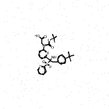 CC(C)(C)OC(=O)N(CC(=O)O)c1cccc(C(N)(Cc2ccc(C(C)(C)C)cc2)S(=O)(=O)c2ccccn2)n1